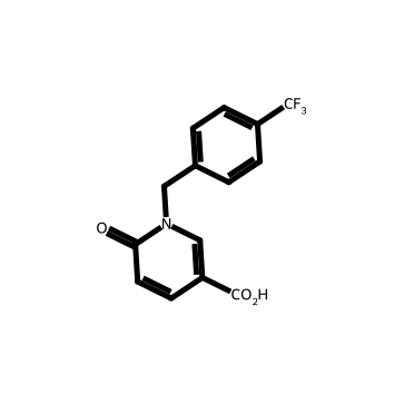 O=C(O)c1ccc(=O)n(Cc2ccc(C(F)(F)F)cc2)c1